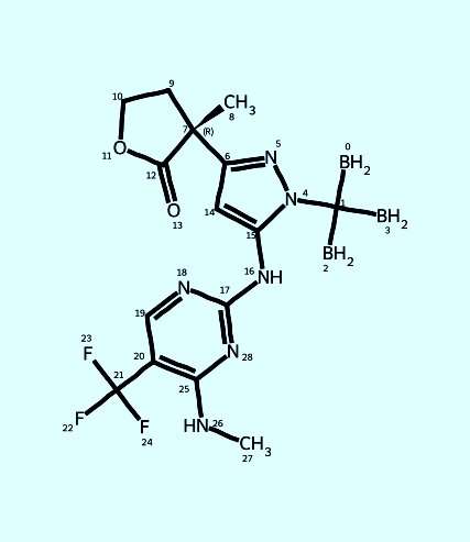 BC(B)(B)n1nc([C@@]2(C)CCOC2=O)cc1Nc1ncc(C(F)(F)F)c(NC)n1